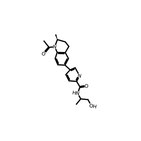 CC(=O)N1c2ccc(-c3ccc(C(=O)NC(C)CO)nc3)cc2CC[C@@H]1C